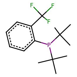 CC(C)(C)P(c1ccccc1C(F)(F)F)C(C)(C)C